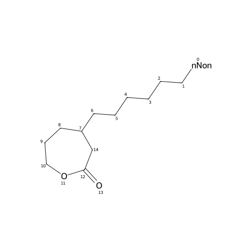 CCCCCCCCCCCCCCCC1CCCOC(=O)C1